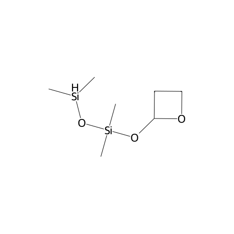 C[SiH](C)O[Si](C)(C)OC1CCO1